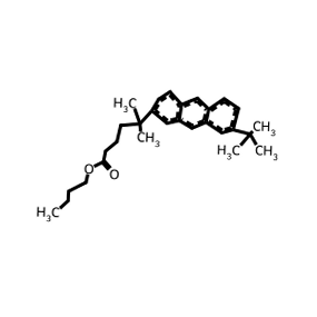 CCCCOC(=O)CCCC(C)(C)c1ccc2cc3ccc(C(C)(C)C)cc3cc2c1